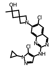 CC1(O)CC2(CN(c3cc4nc(Nc5cnn(C6CC6)c5Cl)ncc4cc3Cl)C2)C1